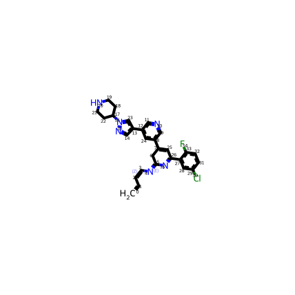 C=C/C=C\N=C1/CC(c2cncc(-c3cnn(C4CCNCC4)c3)c2)=CC(c2cc(Cl)ccc2F)=N1